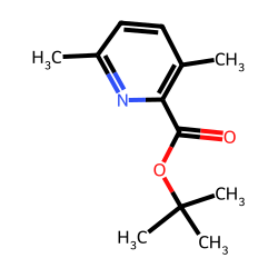 Cc1ccc(C)c(C(=O)OC(C)(C)C)n1